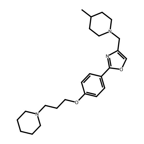 CC1CCN(Cc2coc(-c3ccc(OCCCN4CCCCC4)cc3)n2)CC1